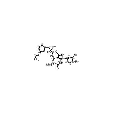 CSCC(=O)Nc1c2c(nn1-c1ccc(F)c(F)c1)CC(C(F)(F)Cc1cccc(OCC(F)(F)F)c1)NC2=O